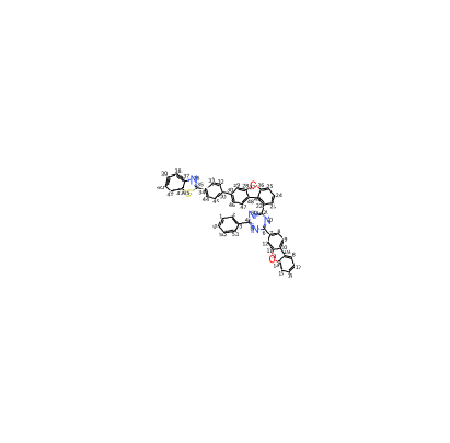 c1ccc(-c2nc(-c3ccc4c(c3)oc3ccccc34)nc(-c3cccc4oc5cc(-c6ccc(-c7nc8ccccc8s7)cc6)ccc5c34)n2)cc1